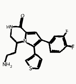 NCCC1CNC(=O)c2cc(-c3ccc(F)c(F)c3)c(-c3ccsc3)n21